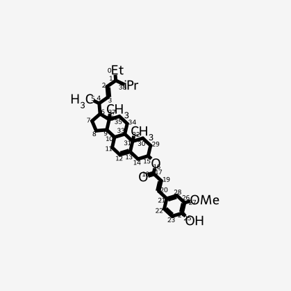 CCC(C=CC(C)C1CCC2C3CC=C4CC(OC(=O)C=Cc5ccc(O)c(OC)c5)CCC4(C)C3CCC12C)C(C)C